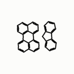 c1cc2cccc3c4cccc5cccc(c(c1)c23)c54.c1ccc2c(c1)Cc1ccccc1-2